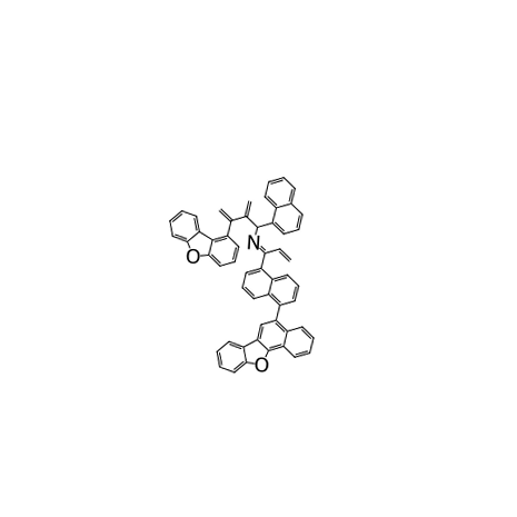 C=C/C(=N\C(C(=C)C(=C)c1cccc2oc3ccccc3c12)c1cccc2ccccc12)c1cccc2c(-c3cc4c5ccccc5oc4c4ccccc34)cccc12